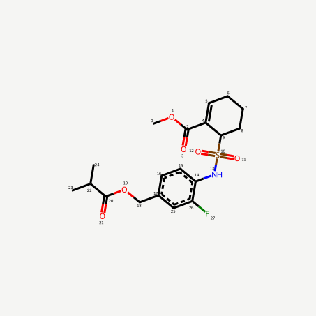 COC(=O)C1=CCCCC1S(=O)(=O)Nc1ccc(COC(=O)C(C)C)cc1F